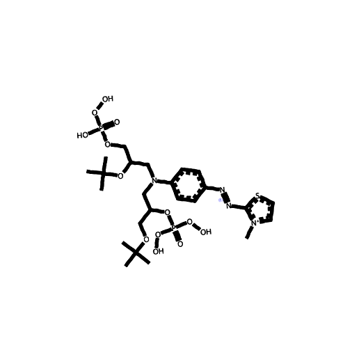 C[n+]1ccsc1/N=N/c1ccc(N(CC(COP(=O)(O)OO)OC(C)(C)C)CC(COC(C)(C)C)OP(=O)(OO)OO)cc1